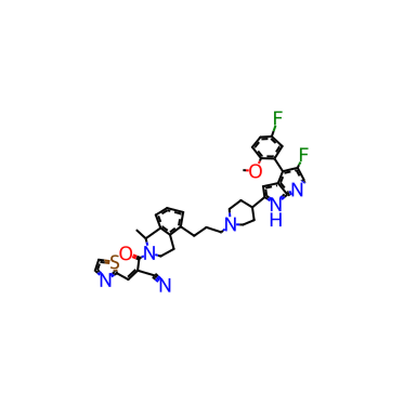 COc1ccc(F)cc1-c1c(F)cnc2[nH]c(C3CCN(CCCc4cccc5c4CCN(C(=O)/C(C#N)=C\c4nccs4)C5C)CC3)cc12